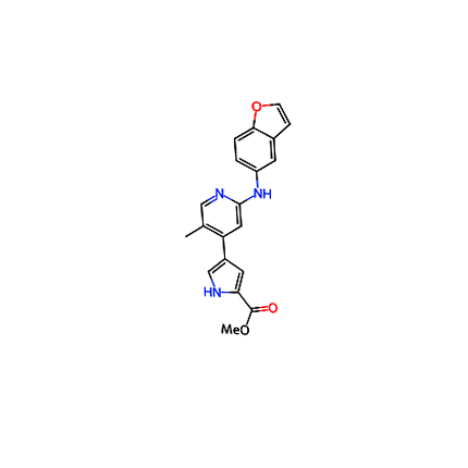 COC(=O)c1cc(-c2cc(Nc3ccc4occc4c3)ncc2C)c[nH]1